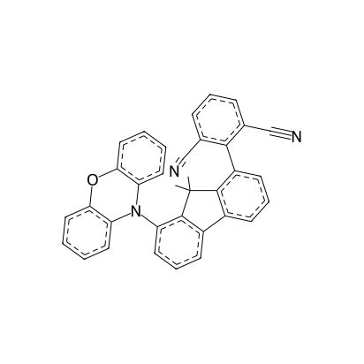 CC1(C)c2c(cccc2-c2c(C#N)cccc2C#N)-c2cccc(N3c4ccccc4Oc4ccccc43)c21